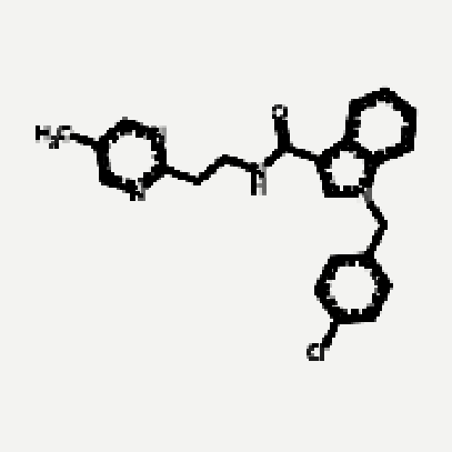 Cc1cnc(CCNC(=O)c2cn(Cc3ccc(Cl)cc3)c3ccccc23)nc1